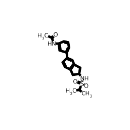 CC(=O)Nc1cccc(-c2ccc3c(c2)CC(NS(=O)(=O)C(C)C)C3)c1